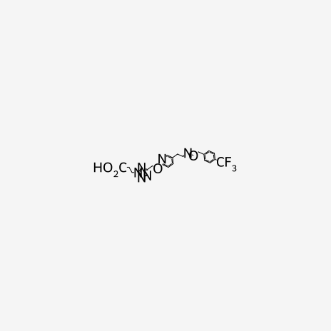 O=C(O)CCn1nnc(COc2ccc(CC=NOCc3ccc(C(F)(F)F)cc3)cn2)n1